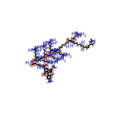 Cc1nccc(-c2ccc(C(=O)NCCCCCC(=O)N[C@H](CCCNC(=N)N)C(=O)NCCCCCC(=O)N[C@H](CCCNC(=N)N)C(=O)N[C@H](CCCNC(=N)N)C(=O)N[C@H](CCCNC(=N)N)C(=O)N[C@H](CCCNC(=N)N)C(=O)N[C@H](CCCNC(=N)N)C(=O)N[C@H](CCCNC(=N)N)C(=O)N[C@H](CCCCNC(=O)c3ccc4c(c3)C(=O)OC43c4ccc(N(C)C)cc4Oc4cc(N(C)C)ccc43)C(N)=O)s2)n1